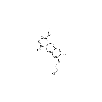 CCOC(=O)c1cc2cc(C)c(OCCCl)cc2cc1[N+](=O)[O-]